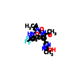 CC(=O)c1nn(CC(=O)N2C3C[C@]3(C)C[C@H]2C(=O)Nc2nc(C(F)(F)F)ccc2C)c2c(C)cc(-c3cnc4c(O)c(C)nn4c3)cc12